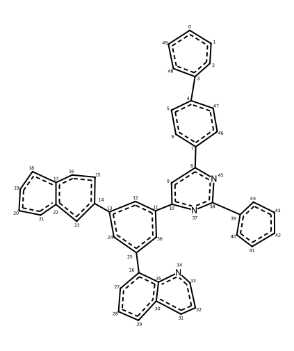 c1ccc(-c2ccc(-c3cc(-c4cc(-c5ccc6ccccc6c5)cc(-c5cccc6cccnc56)c4)nc(-c4ccccc4)n3)cc2)cc1